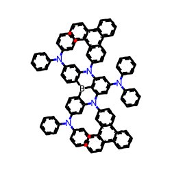 c1ccc(N(c2ccccc2)c2ccc3c(c2)N(c2ccc4c5ccccc5c5ccccc5c4c2)c2cc(N(c4ccccc4)c4ccccc4)cc4c2B3c2ccc(N(c3ccccc3)c3ccccc3)cc2N4c2ccc3c4ccccc4c4ccccc4c3c2)cc1